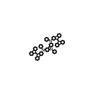 c1ccc(N(c2ccc3c(c2)C(=C2c4ccccc4-c4ccccc42)c2ccccc2-3)c2ccc3c(c2)c2cc(N(c4ccccc4)c4ccc5c(c4)C(=C4c6ccccc6-c6ccccc64)c4ccccc4-5)ccc2n3-c2ccccc2)cc1